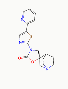 O=C1O[C@]2(CN3CCC2CC3)CN1c1ncc(-c2ccccn2)s1